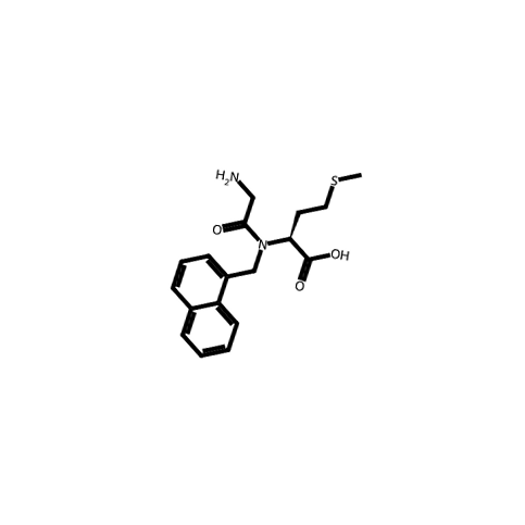 CSCC[C@@H](C(=O)O)N(Cc1cccc2ccccc12)C(=O)CN